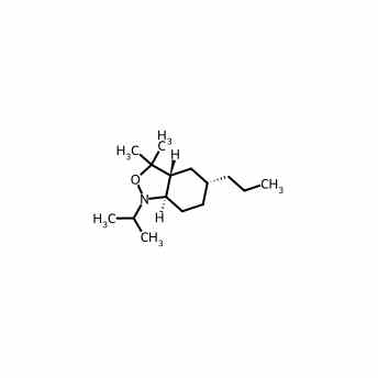 CCC[C@@H]1CC[C@@H]2[C@@H](C1)C(C)(C)ON2C(C)C